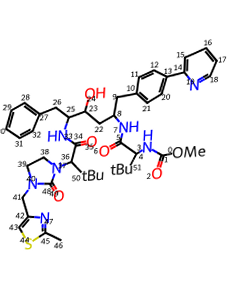 COC(=O)NC(C(=O)NC(Cc1ccc(-c2ccccn2)cc1)CC(O)C(Cc1ccccc1)NC(=O)C(N1CCN(Cc2csc(C)n2)C1=O)C(C)(C)C)C(C)(C)C